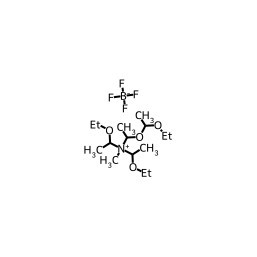 CCOC(C)OC(C)[N+](C)(C(C)OCC)C(C)OCC.F[B-](F)(F)F